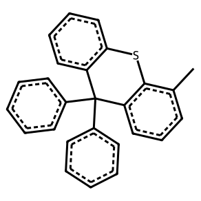 Cc1cccc2c1Sc1ccccc1C2(c1ccccc1)c1ccccc1